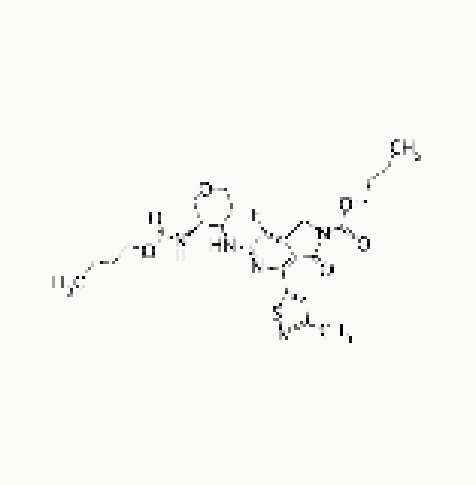 CCCCOC(=O)N[C@H]1COCC[C@H]1Nc1nc(-c2cc(C)ns2)c2c(c1F)CN(C(=O)OCCCC)C2=O